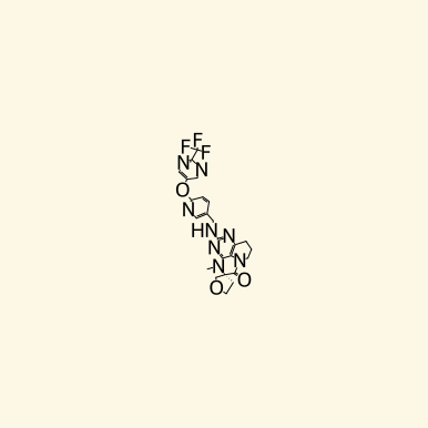 CN1c2nc(NCc3ccc(Oc4cnc(C(F)(F)F)nc4)nc3)nc3c2N(CCC3)C(=O)[C@]12CCOC2